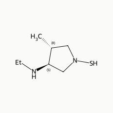 CCN[C@@H]1CN(S)C[C@H]1C